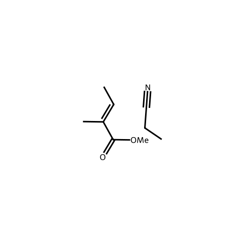 CC=C(C)C(=O)OC.CCC#N